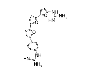 N=C(N)Nc1ccc(-c2ccc(-c3ccc(-c4ccc(NC(=N)N)o4)o3)o2)cc1